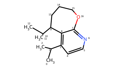 CC(C)c1ccnc2c1C(C(C)C)CCCO2